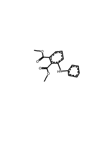 COC(=O)c1cccc(Nc2ccccc2)c1C(=O)OC